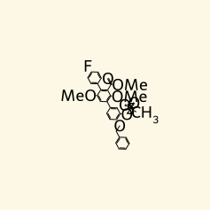 COC(=O)c1c(OC)c(-c2ccc(OCc3ccccc3)c(OS(C)(=O)=O)c2)cc(OC)c1-c1ccc(F)cc1